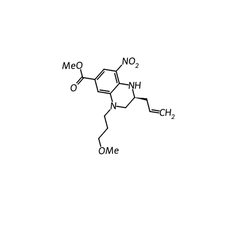 C=CC[C@H]1CN(CCCOC)c2cc(C(=O)OC)cc([N+](=O)[O-])c2N1